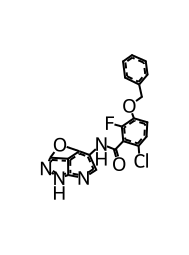 O=C(Nc1cnc2[nH]nc3c2c1O3)c1c(Cl)ccc(OCc2ccccc2)c1F